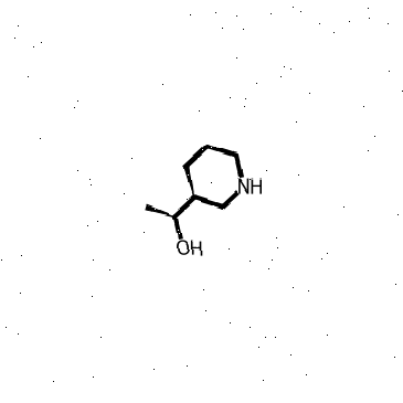 C[C@H](O)[C@H]1CCCNC1